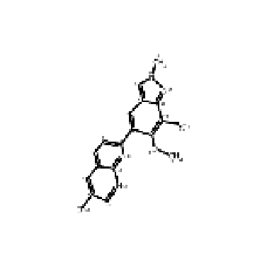 COc1c(-c2ccc3cc(Cl)cnc3n2)cc2cn(C)nc2c1C